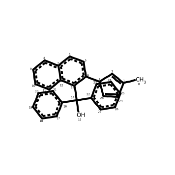 CC1=CC(c2ccc3ccccc3c2C(O)(c2ccccc2)c2ccccc2)C=C1